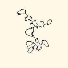 c1ccc(-c2ccc(-c3nc(-c4ccc(-c5ccccc5)cc4)nc(-c4cccc(-c5ccc6c(c5)C5(c7ccccc7-c7ccccc75)c5ccccc5N6c5ccccc5)c4)n3)cc2)cc1